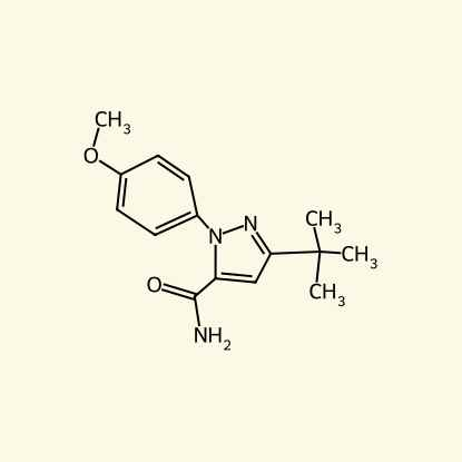 COc1ccc(-n2nc(C(C)(C)C)cc2C(N)=O)cc1